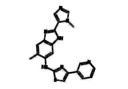 Cc1cc2nc(-c3cncn3C)[nH]c2cc1Nc1nc(-c2cccnc2)cs1